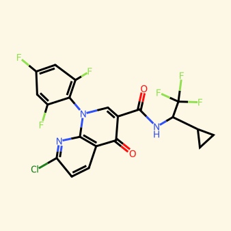 O=C(NC(C1CC1)C(F)(F)F)c1cn(-c2c(F)cc(F)cc2F)c2nc(Cl)ccc2c1=O